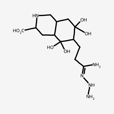 NN/N=C(\N)CCC1C(O)(O)CC2CNC(C(=O)O)CC2C1(O)O